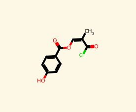 C/C(=C/OC(=O)c1ccc(O)cc1)C(=O)Cl